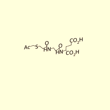 CC(=O)CSCCC(=O)NCCC(=O)NC(CCC(=O)O)C(=O)O